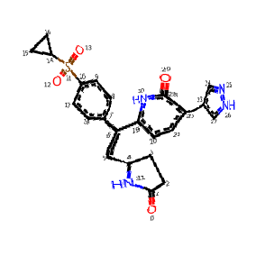 O=C1CC[C@H](C=C(c2ccc(S(=O)(=O)C3CC3)cc2)c2ccc(-c3cn[nH]c3)c(=O)[nH]2)N1